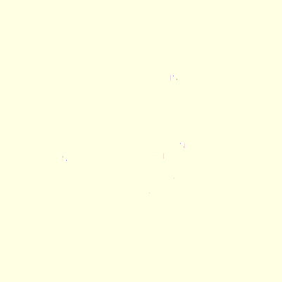 [2H]C([2H])(Oc1cccc(C2CCNCC2)n1)c1ccc(C#N)cc1F